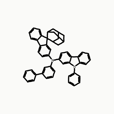 c1ccc(-c2cccc(N(c3ccc4c(c3)C3(c5ccccc5-4)C4CC5CC(C4)CC3C5)c3ccc4c5ccccc5n(-c5ccccc5)c4c3)c2)cc1